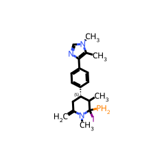 C=C1C[C@H](c2ccc(-c3ncn(C)c3C)cc2)C(C)C(P)(I)N1C